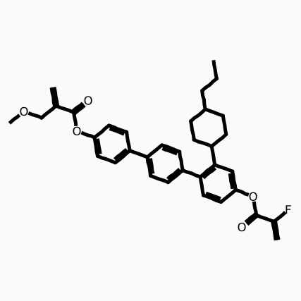 C=C(F)C(=O)Oc1ccc(-c2ccc(-c3ccc(OC(=O)C(=C)COC)cc3)cc2)c(C2CCC(CCC)CC2)c1